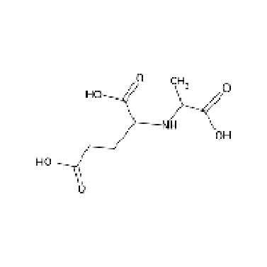 CC(NC(CCC(=O)O)C(=O)O)C(=O)O